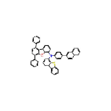 c1ccc(-c2ccc(-c3ccccc3)c3c2oc2c(N(c4ccc(-c5ccc6ccccc6c5)cc4)c4cccc5c4sc4ccccc45)cccc23)cc1